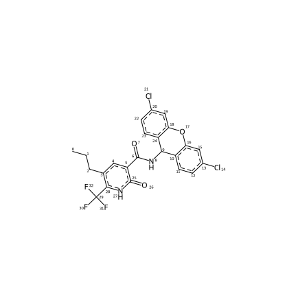 CCCc1cc(C(=O)NC2c3ccc(Cl)cc3Oc3cc(Cl)ccc32)c(=O)[nH]c1C(F)(F)F